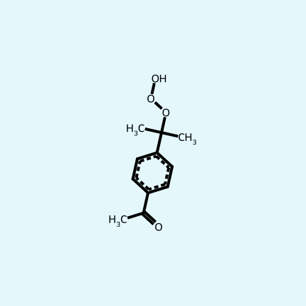 CC(=O)c1ccc(C(C)(C)OOO)cc1